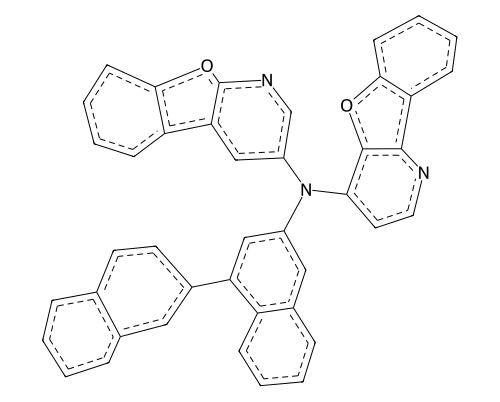 c1ccc2cc(-c3cc(N(c4cnc5oc6ccccc6c5c4)c4ccnc5c4oc4ccccc45)cc4ccccc34)ccc2c1